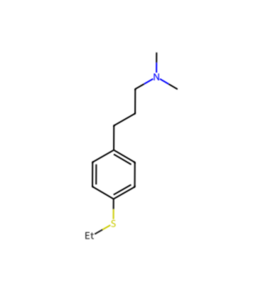 CCSc1ccc(CCCN(C)C)cc1